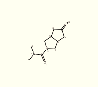 CN(C)C(=O)N1CC2CC(=O)CC2C1